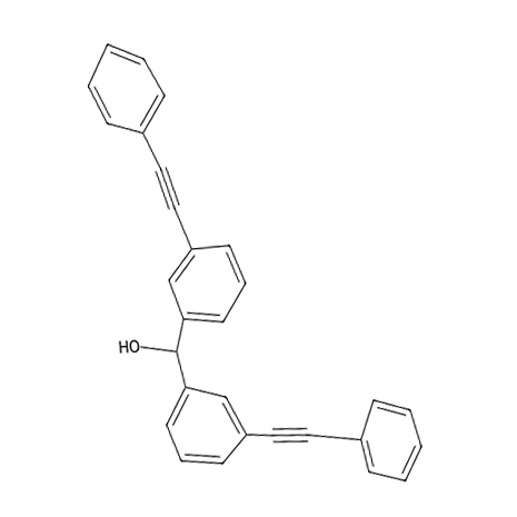 OC(c1cccc(C#Cc2ccccc2)c1)c1cccc(C#Cc2ccccc2)c1